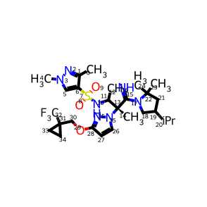 Cc1nn(C)cc1S(=O)(=O)NC(C)[C@](C)(C(=N)N1CC(C(C)C)CC1(C)C)n1ccc(OCC2(C(F)(F)F)CC2)n1